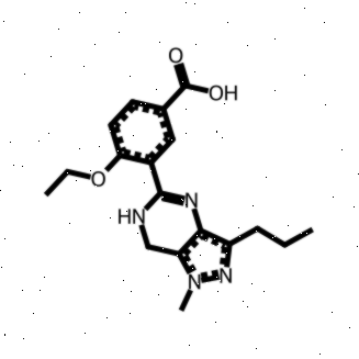 CCCc1nn(C)c2c1N=C(c1cc(C(=O)O)ccc1OCC)NC2